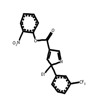 CCC1(c2cccc(C(F)(F)F)c2)C=C(C(=O)Oc2ccccc2[N+](=O)[O-])C=N1